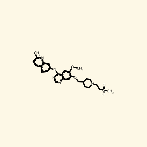 COc1cc2c(Oc3ccc4ccc(C)nc4c3)ncnc2cc1OCC1CCN(CCS(C)(=O)=O)CC1